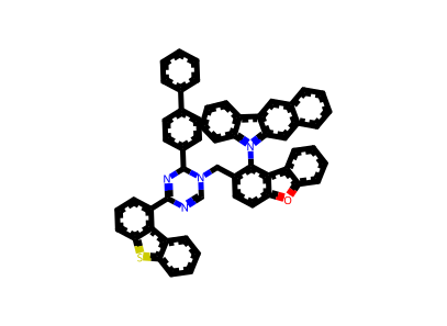 C1=NC(c2cccc3sc4ccccc4c23)=NC(c2ccc(-c3ccccc3)cc2)N1Cc1ccc2oc3ccccc3c2c1-n1c2ccccc2c2cc3ccccc3cc21